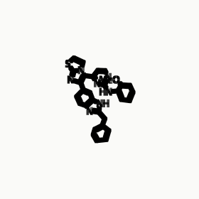 COc1ccccc1Nc1nccc(-c2c(-c3ccc4nc(Cc5ccccc5)[nH]c4c3)nc3sccn23)n1